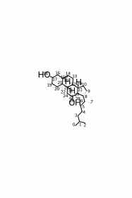 CC(C)CCC[C@@H](C)[C@H]1CC[C@H]2[C@@H]3CC=C4C[C@H](O)CC[C@]4(C)[C@H]3C[C@H](O)[C@]12C